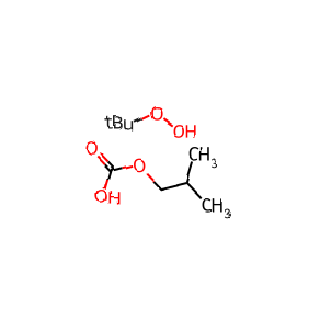 CC(C)(C)OO.CC(C)COC(=O)O